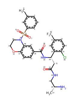 Cc1cccc(S(=O)(=O)N2CCOc3ccc(C(=O)N[C@@H](CC(=O)NC[C@@H](C)N)c4cc(C(F)(F)F)ccc4Cl)cc32)c1